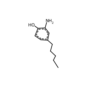 CCCCCc1ccc(O)c(N)c1